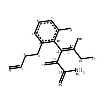 C=CCCc1cccc(C)c1/C(C(=C)C(=C)N)=C(\C)CC